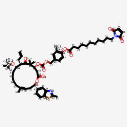 C=CC[C@H]1C(=O)C(C)(C)[C@@H](OC(=O)OCc2ccc(OC(=O)CCCCCCCCCCN3C(=O)C=CC3=O)c([N+](=O)[O-])c2)CC(=O)O[C@H](c2ccc3sc(C)nc3c2)C/C=C(/C)CCC[C@H](C)[C@@H]1O[Si](C)(C)C(C)(C)C